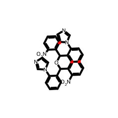 O=[N+]([O-])c1ccccc1C(OC(c1ccccc1-n1ccnc1)c1ccccc1[N+](=O)[O-])c1ccccc1-n1ccnc1